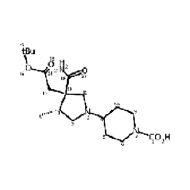 C[C@H]1CN(C2CCN(C(=O)O)CC2)C[C@@]1(CC(=O)OC(C)(C)C)C(N)=O